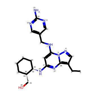 CCc1cnn2c(NCc3cnc(N)nc3)cc(N[C@H]3CCCC[C@H]3CO)nc12